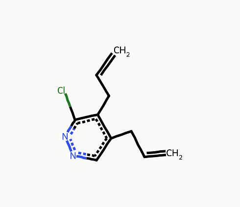 C=CCc1cnnc(Cl)c1CC=C